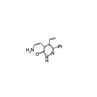 C=Cc1c(C(C)C)n[nH]c(=O)c1/C=C\N